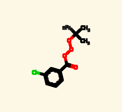 CCCC(C)(C)OOOC(=O)c1cccc(Cl)c1